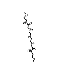 COCCNC(=O)CNCCNCCNCC(=O)NCCOC